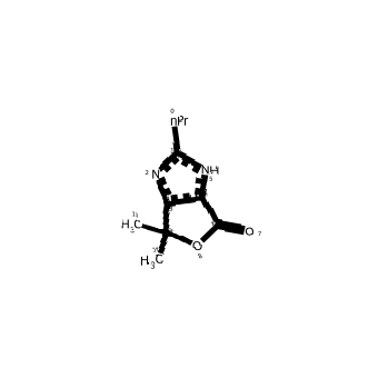 CCCc1nc2c([nH]1)C(=O)OC2(C)C